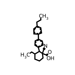 CCCc1ccc(-c2ccc(C3C(CC)CCCC3(C#N)C(=O)O)cc2)cc1